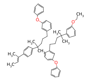 CC=C(C)c1ccc(C(C)(C)CCCc2cccc(Oc3ccccc3)c2)cc1.CCOc1cccc(C(C)(C)CCCc2cccc(Oc3ccccc3)c2)c1